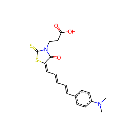 CN(C)c1ccc(/C=C/C=C/C=C2/SC(=S)N(CCC(=O)O)C2=O)cc1